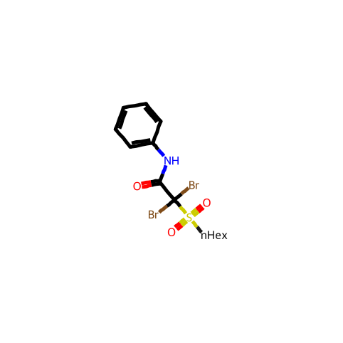 CCCCCCS(=O)(=O)C(Br)(Br)C(=O)Nc1ccccc1